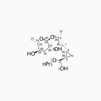 CCCOC(O)[C@@H]1C[C@H]1CC[C@@H](C)O[C@@H]1O[C@@H](C)[C@H](O)C[C@H]1O